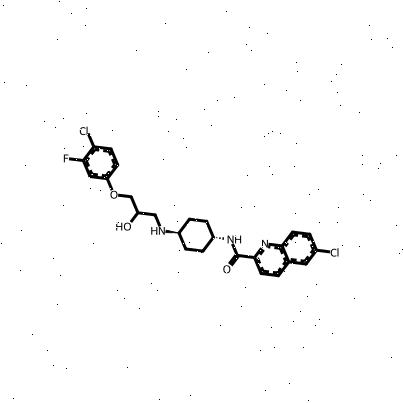 O=C(N[C@H]1CC[C@H](NCC(O)COc2ccc(Cl)c(F)c2)CC1)c1ccc2cc(Cl)ccc2n1